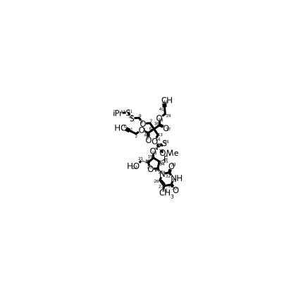 C#CCOC(=O)C(COCSSC(C)C)(COP(=S)(OC)OC1[C@@H](CO)O[C@@H](n2cc(C)c(=O)[nH]c2=O)[C@H]1F)C(=O)OCC#C